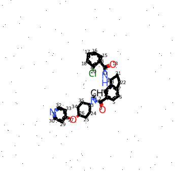 CN(C(=O)c1ccc2c(c1)[C@H](NC(=O)c1ccccc1Cl)CC2)C1CCC(Oc2ccncc2)CC1